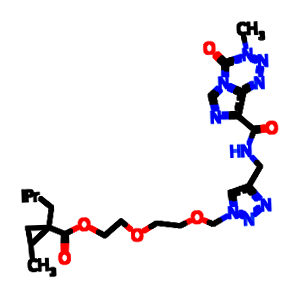 CC(C)CC1(C(=O)OCCOCCOCn2cc(CNC(=O)c3ncn4c(=O)n(C)nnc34)nn2)CC1C